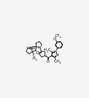 Cc1nn(-c2cccc(OC(F)(F)F)c2)c(C)c1C(=O)N1CCC(N2CCCC2(CO)C(O)C2(C)CCCN2)C1